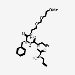 C=CCN(O)C(=O)C[C@@H](CC(C)C)C(=O)N[C@@H](Cc1ccccc1)C(=O)NCCOCOCCOC